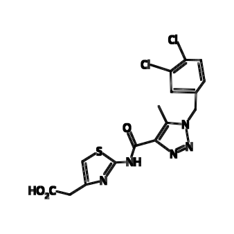 Cc1c(C(=O)Nc2nc(CC(=O)O)cs2)nnn1Cc1ccc(Cl)c(Cl)c1